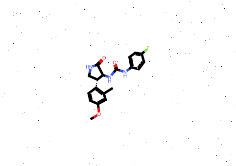 COc1ccc([C@@H]2CNC(=O)C2NC(=O)Nc2ccc(F)cc2)c(C)c1